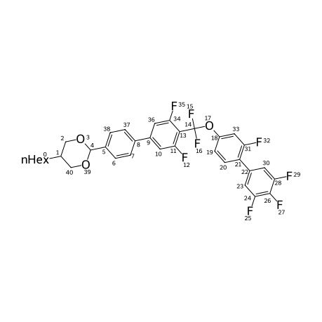 CCCCCCC1COC(c2ccc(-c3cc(F)c(C(F)(F)Oc4ccc(-c5cc(F)c(F)c(F)c5)c(F)c4)c(F)c3)cc2)OC1